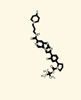 CC(C)(C)OC(=O)N1CCCC1c1ccc(-c2cn3c(n2)sc2cc(C(=O)NCCCN4CCC(F)CC4)ncc23)c(F)c1